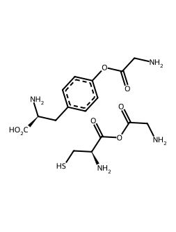 NCC(=O)OC(=O)[C@@H](N)CS.NCC(=O)Oc1ccc(C[C@H](N)C(=O)O)cc1